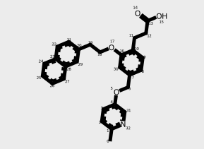 Cc1ccc(OCc2ccc(CCC(=O)O)c(OCCc3ccc4ccccc4c3)c2)cn1